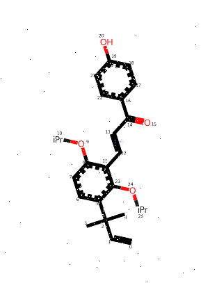 C=CC(C)(C)c1ccc(OC(C)C)c(/C=C/C(=O)c2ccc(O)cc2)c1OC(C)C